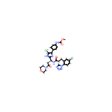 COC(=O)Nc1ccc(-c2nc([C@H](CC(=O)N3CCOCC3)NC(=O)CCc3cc(Cl)ccc3-n3cnnn3)[nH]c2Cl)cc1